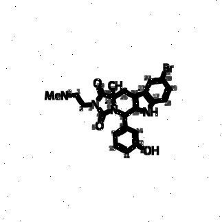 CNCCN1C(=O)N2C(c3cccc(O)c3)c3[nH]c4ccc(Br)cc4c3CC2(C)C1=O